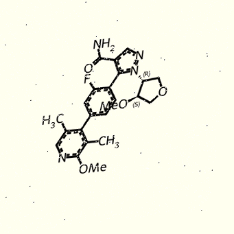 COc1ncc(C)c(-c2ccc(-c3c(C(N)=O)cnn3[C@@H]3COC[C@H]3OC)c(F)c2)c1C